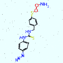 [N-]=[N+]=Nc1ccc(NC(=S)NCc2ccc(SOON)cc2)cc1